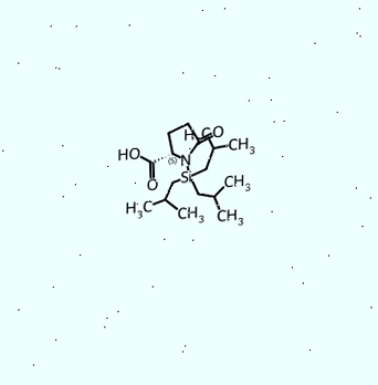 CC(C)C[Si](CC(C)C)(CC(C)C)N1C(=O)CC[C@H]1C(=O)O